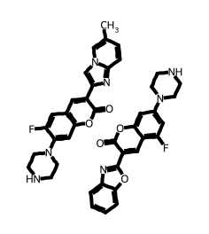 Cc1ccc2nc(-c3cc4cc(F)c(N5CCNCC5)cc4oc3=O)cn2c1.O=c1oc2cc(N3CCNCC3)cc(F)c2cc1-c1nc2ccccc2o1